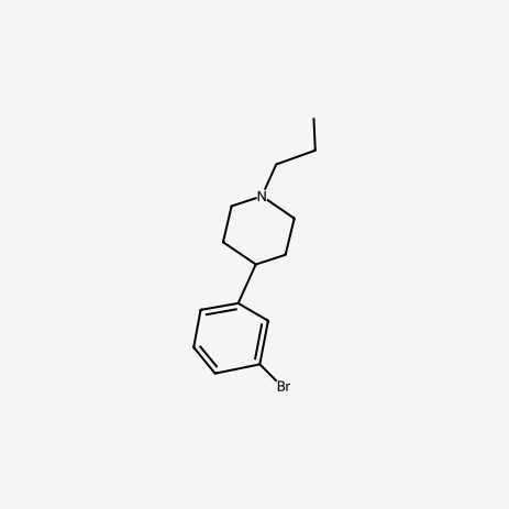 CCCN1CCC(c2cccc(Br)c2)CC1